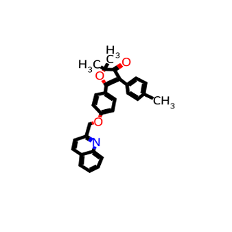 Cc1ccc(C2=C(c3ccc(OCc4ccc5ccccc5n4)cc3)OC(C)(C)C2=O)cc1